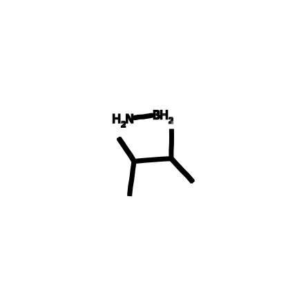 BN.CC(C)C(C)C